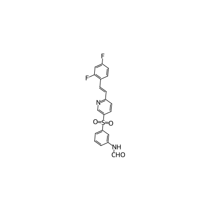 O=CNc1cccc(S(=O)(=O)c2ccc(/C=C/c3ccc(F)cc3F)nc2)c1